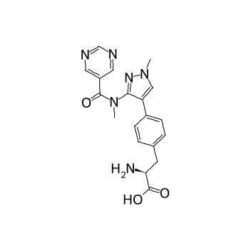 CN(C(=O)c1cncnc1)c1nn(C)cc1-c1ccc(C[C@H](N)C(=O)O)cc1